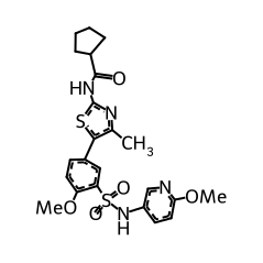 COc1ccc(NS(=O)(=O)c2cc(-c3sc(NC(=O)C4CCCC4)nc3C)ccc2OC)cn1